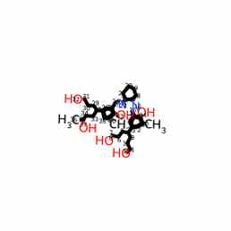 Cc1cc(C(CCCO)CCCO)cc(/C=N/C2CCCCC2/N=C/c2cc(C(CCCO)CCC(C)O)cc(C)c2O)c1O